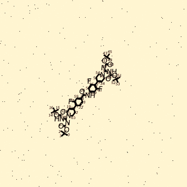 CC(C)(C)OC(=O)N=C(NC(=O)OC(C)(C)C)N1CC=C(c2ccc(C(=O)Nc3cc(F)c(C4=CCN(C(=NC(=O)OC(C)(C)C)NC(=O)OC(C)(C)C)CC4)c(F)c3)cc2F)CC1